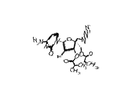 CCC(=O)OC[C@@]1(CN=[N+]=[N-])O[C@@H](n2ccc(N)nc2=O)[C@H](F)[C@@H]1OC(=O)C(C)C